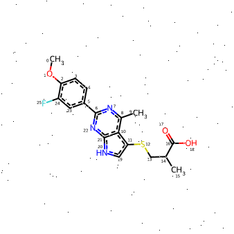 COc1ccc(-c2nc(C)c3c(SCC(C)C(=O)O)c[nH]c3n2)cc1F